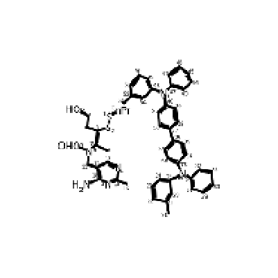 CCCSS/C(CCO)=C(\C)N(C=O)Cc1cnc(C)nc1N.Cc1cccc(N(c2ccccc2)c2ccc(-c3ccc(N(c4ccccc4)c4cccc(C)c4)cc3)cc2)c1